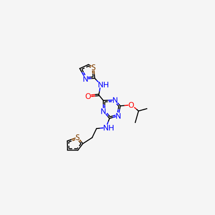 CC(C)Oc1nc(NCCc2cccs2)nc(C(=O)Nc2nccs2)n1